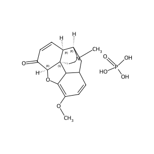 COC1=C2O[C@H]3C(=O)C=C[C@H]4[C@H]5CC(C=C1)C2[C@@]34CCN5C.O=P(O)(O)O